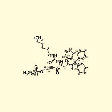 CCCCCCNC(=O)NC(CC(=O)NC(c1ccccc1)(c1ccccc1)c1ccccc1)C(=O)NCCOC(=O)NC